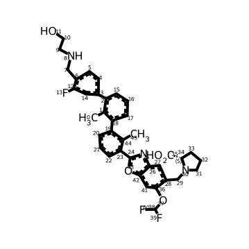 Cc1c(-c2ccc(CNCCO)c(F)c2)cccc1-c1cccc(-c2nc3cc(CN4CCC[C@H]4C(=O)O)c(OC(F)F)cc3o2)c1C